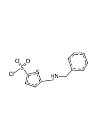 O=S(=O)(Cl)c1ccc(CNCc2ccccc2)s1